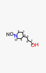 N#CN1CCC(CCCO)CC1